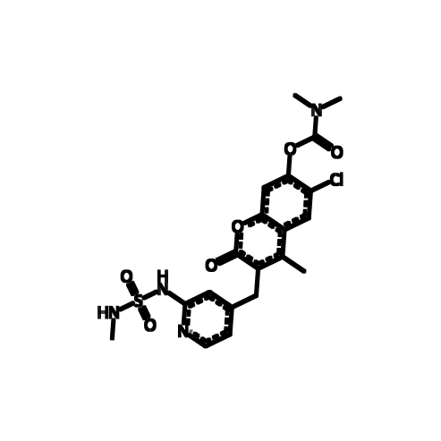 CNS(=O)(=O)Nc1cc(Cc2c(C)c3cc(Cl)c(OC(=O)N(C)C)cc3oc2=O)ccn1